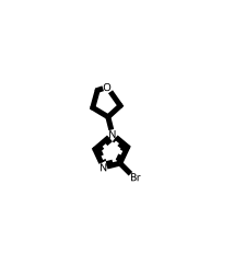 Brc1cn(C2CCOC2)cn1